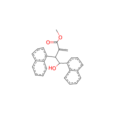 C=C(C(=O)OC)C(c1cccc2ccccc12)C(O)c1cccc2ccccc12